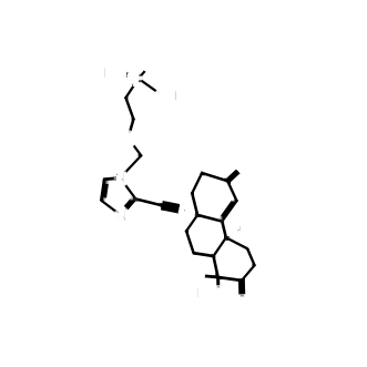 CC1(C)C(=O)CC[C@]2(C)C3=CC(=O)CC[C@]3(C#Cc3nccn3COCC[Si](C)(C)C)CCC12